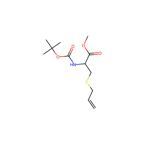 C=CCSCC(NC(=O)OC(C)(C)C)C(=O)OC